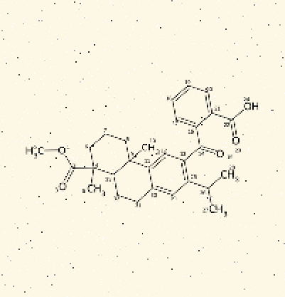 COC(=O)C1(C)CCCC2(C)c3cc(C(=O)c4ccccc4C(=O)O)c(C(C)C)cc3CCC12